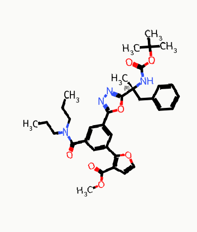 CCCN(CCC)C(=O)c1cc(-c2nnc([C@@](C)(Cc3ccccc3)NC(=O)OC(C)(C)C)o2)cc(-c2occc2C(=O)OC)c1